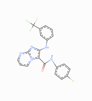 CN(C(=O)c1c(Nc2cccc(C(F)(F)F)c2)nc2ncccn12)c1ccc(F)cc1